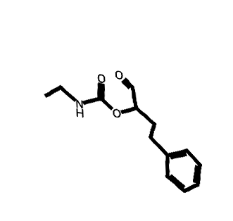 CCNC(=O)OC(C=O)CCc1ccccc1